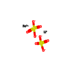 O=S(=O)([O-])[O-].O=S(=O)([O-])[O-].[Fe+3].[Li+]